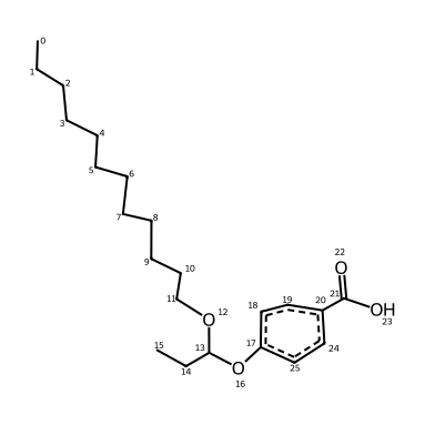 CCCCCCCCCCCCOC(CC)Oc1ccc(C(=O)O)cc1